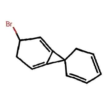 BrC1C=C2C(=CC1)C21C=CC=CC1